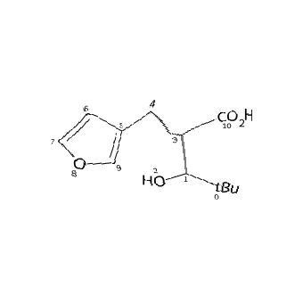 CC(C)(C)C(O)C(Cc1ccoc1)C(=O)O